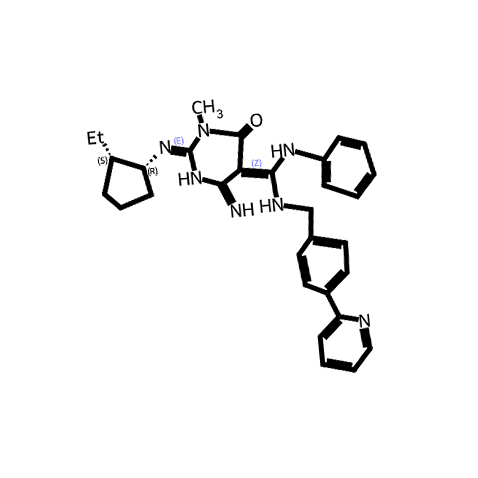 CC[C@H]1CCC[C@H]1/N=C1\NC(=N)/C(=C(\NCc2ccc(-c3ccccn3)cc2)Nc2ccccc2)C(=O)N1C